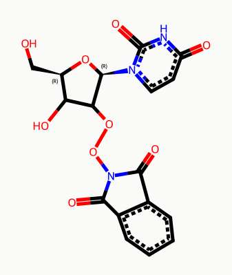 O=C1c2ccccc2C(=O)N1OOC1C(O)[C@@H](CO)O[C@H]1n1ccc(=O)[nH]c1=O